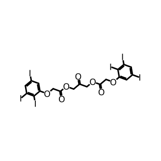 O=C(COC(=O)COc1cc(I)cc(I)c1I)COC(=O)COc1cc(I)cc(I)c1I